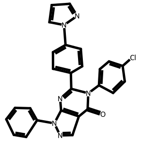 O=c1c2cnn(-c3ccccc3)c2nc(-c2ccc(-n3cccn3)cc2)n1-c1ccc(Cl)cc1